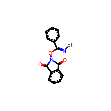 CC/N=C(/ON1C(=O)c2ccccc2C1=O)c1ccccc1